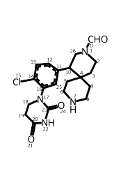 O=CN1CCC2(CCNCC2)C(c2ccc(Cl)c(N3CCC(=O)NC3=O)c2)C1